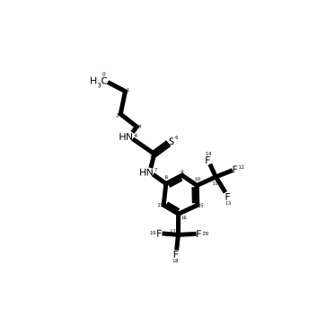 CCCCNC(=S)Nc1cc(C(F)(F)F)cc(C(F)(F)F)c1